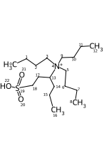 CCCC[N+](CCCC)(CCCC)C(CCC)CCS(=O)(=O)O